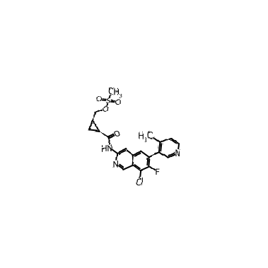 Cc1ccncc1-c1cc2cc(NC(=O)[C@H]3C[C@H]3COS(C)(=O)=O)ncc2c(Cl)c1F